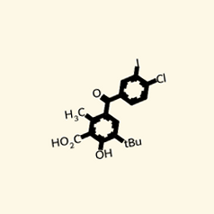 Cc1c(C(=O)c2ccc(Cl)c(I)c2)cc(C(C)(C)C)c(O)c1C(=O)O